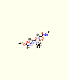 C#CCOC(=O)[C@@H](NC(=O)N[C@H](C(=O)N1C[C@H]2[C@@H]([C@H]1C(=O)NC(CC)C(=O)C(=O)NCC=C)C2(C)C)C(C)(C)C)C(C)C